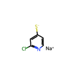 [Na+].[S-]c1ccnc(Cl)c1